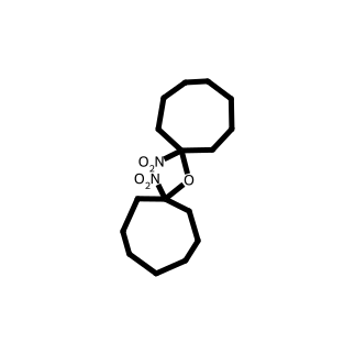 O=[N+]([O-])C1(OC2([N+](=O)[O-])CCCCCCC2)CCCCCCC1